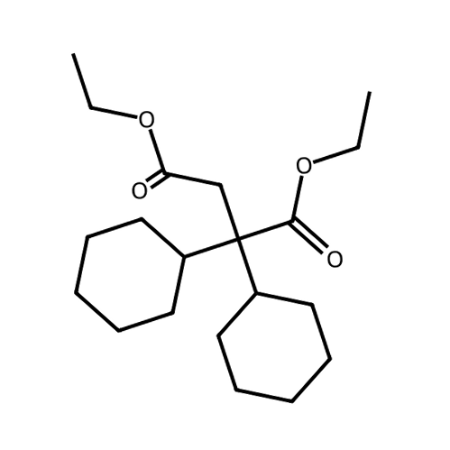 CCOC(=O)CC(C(=O)OCC)(C1CCCCC1)C1CCCCC1